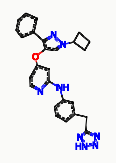 c1ccc(-c2nn(C3CCC3)cc2Oc2ccnc(Nc3cccc(Cc4nn[nH]n4)c3)c2)cc1